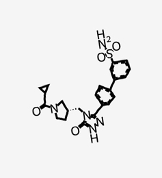 NS(=O)(=O)c1cccc(-c2ccc(-c3n[nH]c(=O)n3C[C@@H]3CCN(C(=O)C4CC4)C3)cc2)c1